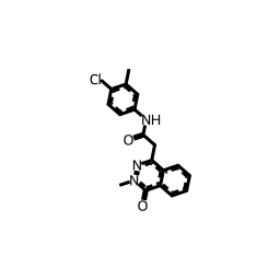 Cc1cc(NC(=O)Cc2nn(C)c(=O)c3ccccc23)ccc1Cl